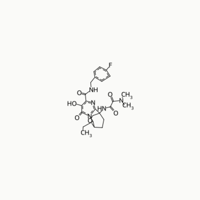 CCC1C2CCC(NC(=O)C(=O)N(C)C)(CO2)c2nc(C(=O)NCc3ccc(F)cc3)c(O)c(=O)n21